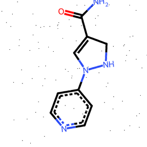 NC(=O)C1=CN(c2ccncc2)NC1